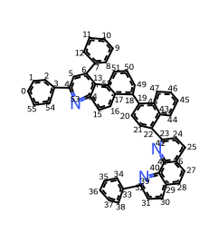 c1ccc(-c2cc(-c3ccccc3)c3c(ccc4c(-c5ccc(-c6ccc7ccc8ccc(-c9ccccc9)nc8c7n6)c6ccccc56)cccc43)n2)cc1